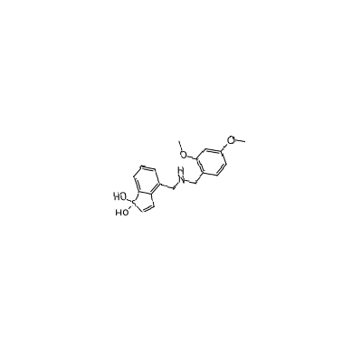 COc1ccc(CNCc2cccc3c2C=CS3(O)O)c(OC)c1